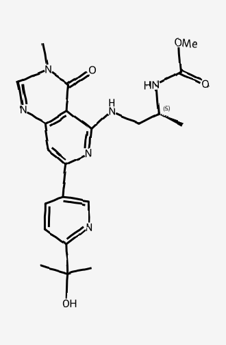 COC(=O)N[C@@H](C)CNc1nc(-c2ccc(C(C)(C)O)nc2)cc2ncn(C)c(=O)c12